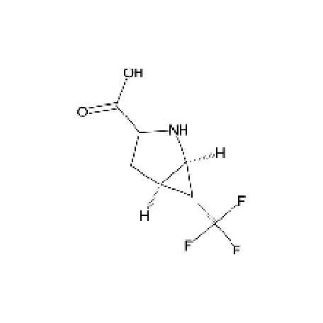 O=C(O)C1C[C@H]2[C@@H](N1)[C@@H]2C(F)(F)F